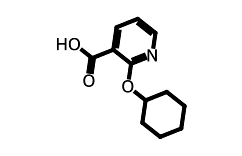 O=C(O)c1cccnc1OC1CCCCC1